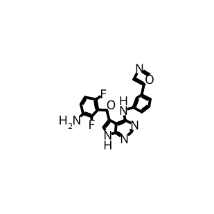 Nc1ccc(F)c(C(=O)c2c[nH]c3ncnc(Nc4cccc(-c5cnco5)c4)c23)c1F